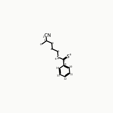 CC(C#N)CCCSC(=S)c1ccccc1